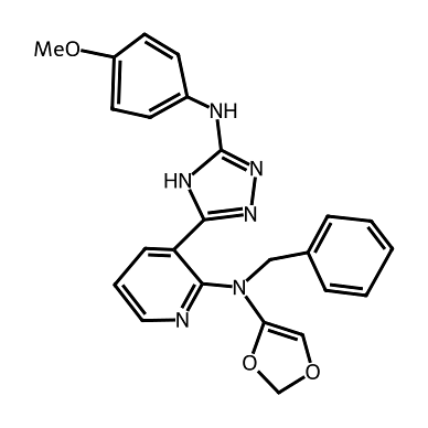 COc1ccc(Nc2nnc(-c3cccnc3N(Cc3ccccc3)C3=COCO3)[nH]2)cc1